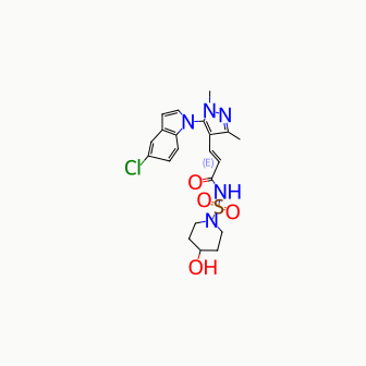 Cc1nn(C)c(-n2ccc3cc(Cl)ccc32)c1/C=C/C(=O)NS(=O)(=O)N1CCC(O)CC1